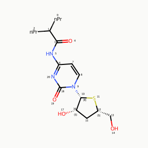 CCCC(CCC)C(=O)Nc1ccn([C@@H]2S[C@H](CO)C[C@@H]2O)c(=O)n1